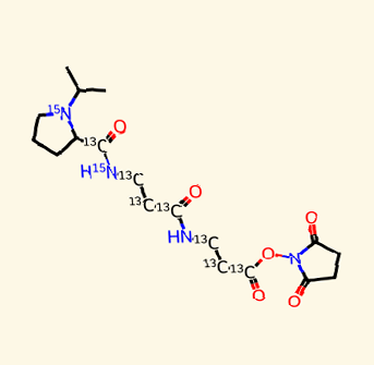 CC(C)[15N]1CCCC1[13C](=O)[15NH][13CH2][13CH2][13C](=O)N[13CH2][13CH2][13C](=O)ON1C(=O)CCC1=O